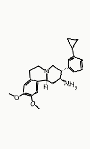 COc1cc2c(cc1OC)[C@@H]1C[C@H](N)[C@@H](c3cccc(C4CC4)c3)CN1CC2